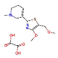 COCc1sc(C2=CCCN(C)C2)nc1OC.O=C(O)C(=O)O